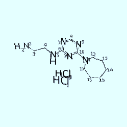 Cl.Cl.NCCNc1ncnc(N2CCCCCC2)n1